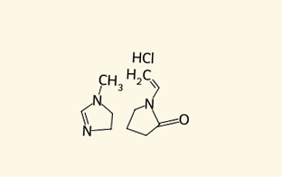 C=CN1CCCC1=O.CN1C=NCC1.Cl